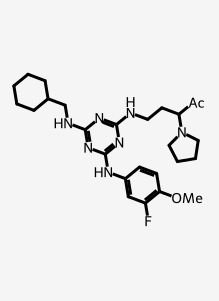 COc1ccc(Nc2nc(NCCC(C(C)=O)N3CCCC3)nc(NCC3CCCCC3)n2)cc1F